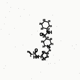 C=CC(=O)Nc1ncc(CN2CCC(C(=O)NC3CCCCC3)CC2)s1